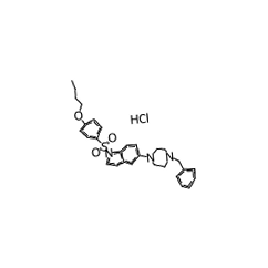 CCCCOc1ccc(S(=O)(=O)n2ccc3cc(N4CCN(Cc5ccccc5)CC4)ccc32)cc1.Cl